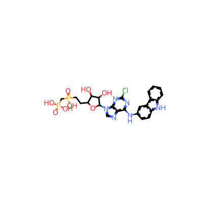 O=P(O)(O)CP(=O)(O)CCC1OC(n2cnc3c(Nc4ccc5[nH]c6ccccc6c5c4)nc(Cl)nc32)C(O)C1O